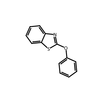 c1ccc(Oc2nc3ccccc3s2)cc1